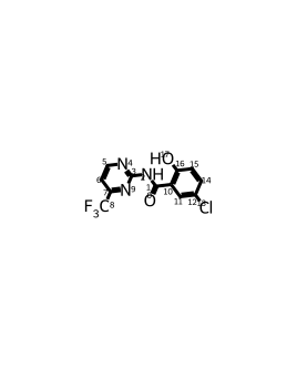 O=C(Nc1nccc(C(F)(F)F)n1)c1cc(Cl)ccc1O